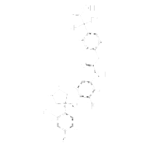 CC(O)C(F)(F)c1ccc(CC(=O)Nc2ccc(OC3(c4ccc(Cl)cc4Cl)CCCC3)c(F)c2)cc1